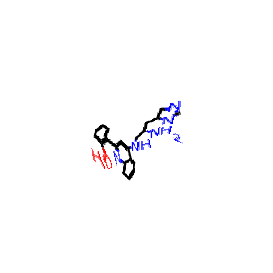 N[C@@H](CNc1cc(-c2ccccc2O)nc2ccccc12)CC1C=NC=N1